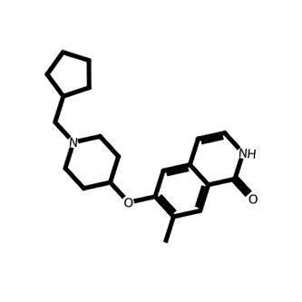 Cc1cc2c(=O)[nH]ccc2cc1OC1CCN(CC2CCCC2)CC1